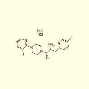 Cl.Cl.NC(Cc1ccc(Cl)cc1)C(=O)N1CCN(c2ncncc2I)CC1